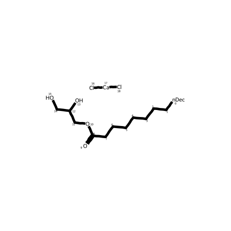 CCCCCCCCCCCCCCCCCC(=O)OCC(O)CO.[Cl][Ca][Cl]